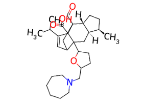 CC(C)C1=CC2CC3(C=O)[C@@H]4CC[C@@H](C)[C@H]4CC2(C2CCC(CN4CCCCCC4)O2)C13C(=O)O